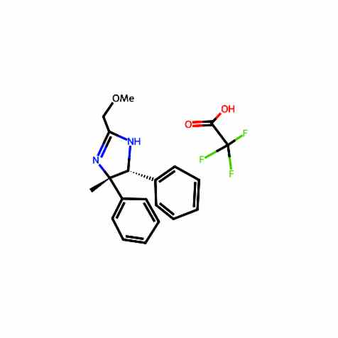 COCC1=N[C@@](C)(c2ccccc2)[C@@H](c2ccccc2)N1.O=C(O)C(F)(F)F